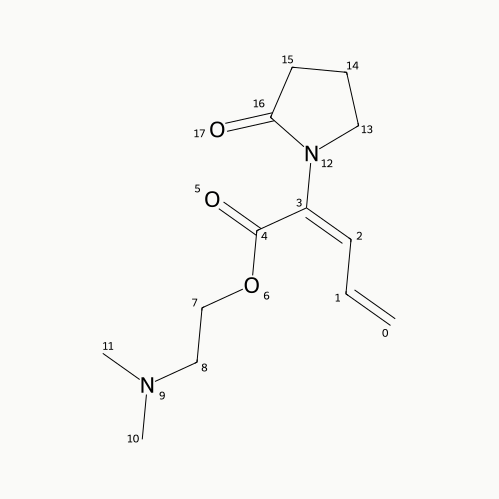 C=CC=C(C(=O)OCCN(C)C)N1CCCC1=O